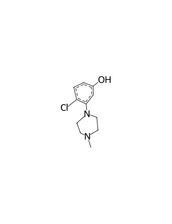 CN1CCN(c2cc(O)ccc2Cl)CC1